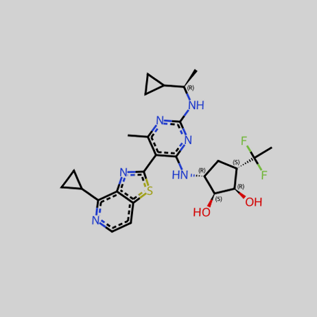 Cc1nc(N[C@H](C)C2CC2)nc(N[C@@H]2C[C@H](C(C)(F)F)[C@@H](O)[C@H]2O)c1-c1nc2c(C3CC3)nccc2s1